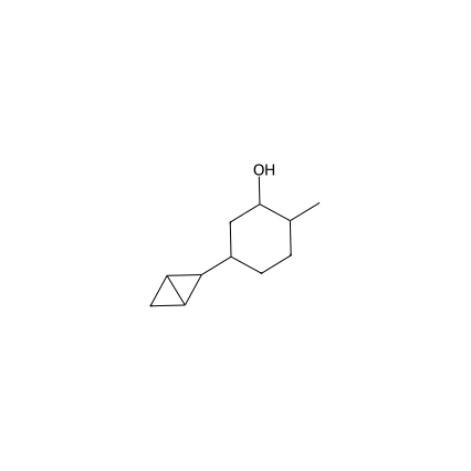 CC1CCC(C2C3CC32)CC1O